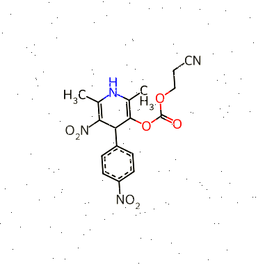 CC1=C(OC(=O)OCCC#N)C(c2ccc([N+](=O)[O-])cc2)C([N+](=O)[O-])=C(C)N1